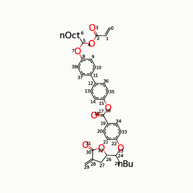 C=CC(=O)OC(CCCCCCCC)Oc1ccc(-c2ccc(OC(=O)c3ccc(OC(CCCC)C4CC(=C)C(=O)O4)cc3)cc2)cc1